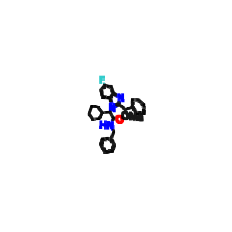 COC(c1ccccc1)c1nc2cc(F)ccc2n1C(C(=O)NCc1ccccc1)C1CCCCC1